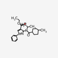 CCOC(=O)c1cn(-c2ccccc2)nc1N(C(=O)C1CCC(C)CC1)C(C)C